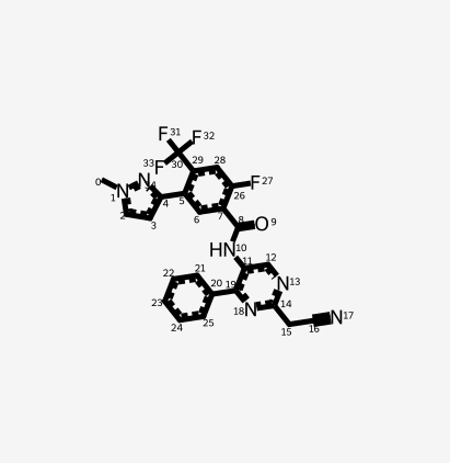 Cn1ccc(-c2cc(C(=O)Nc3cnc(CC#N)nc3-c3ccccc3)c(F)cc2C(F)(F)F)n1